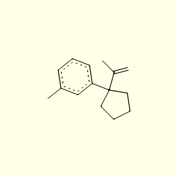 O=C(Cl)C1(c2cccc(Cl)c2)CCCC1